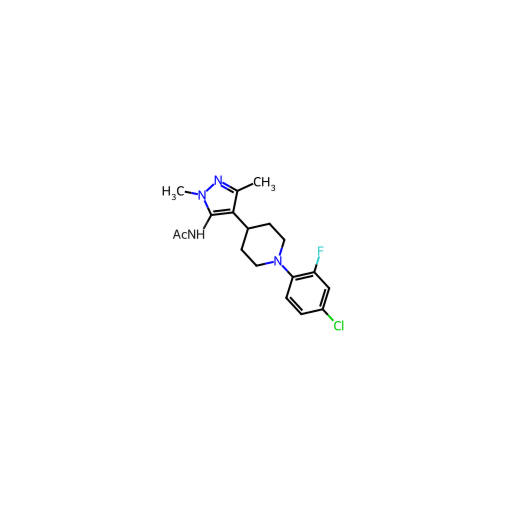 CC(=O)Nc1c(C2CCN(c3ccc(Cl)cc3F)CC2)c(C)nn1C